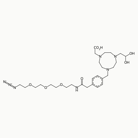 [N-]=[N+]=NCCOCCOCCOCCNC(=O)Cc1ccc(CN2CCN(CC(=O)O)CCN(CC(O)O)CC2)cc1